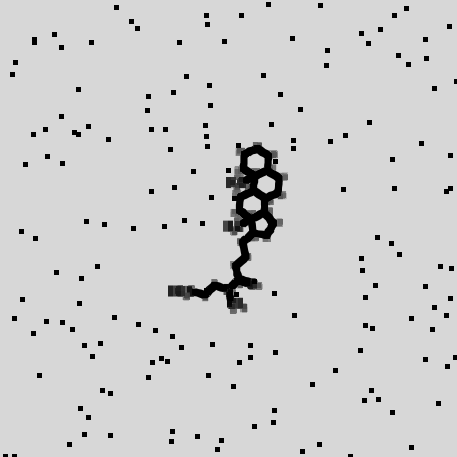 CN(CCS(=O)(=O)O)C(=O)CCCC1CCC2C3CCC4CCCCC4(C)C3CCC12C